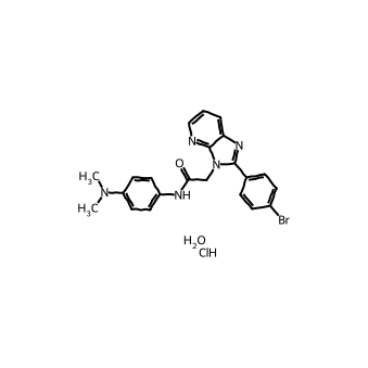 CN(C)c1ccc(NC(=O)Cn2c(-c3ccc(Br)cc3)nc3cccnc32)cc1.Cl.O